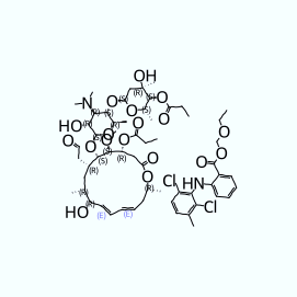 CCC(=O)O[C@@H]1CC(=O)O[C@H](C)C/C=C/C=C/[C@H](O)[C@H](C)C[C@H](CC=O)[C@H](O[C@@H]2O[C@H](C)[C@@H](O[C@H]3C[C@@](C)(O)[C@@H](OC(=O)CC)[C@H](C)O3)[C@H](N(C)C)[C@H]2O)[C@H]1OC.CCOCOC(=O)c1ccccc1Nc1c(Cl)ccc(C)c1Cl